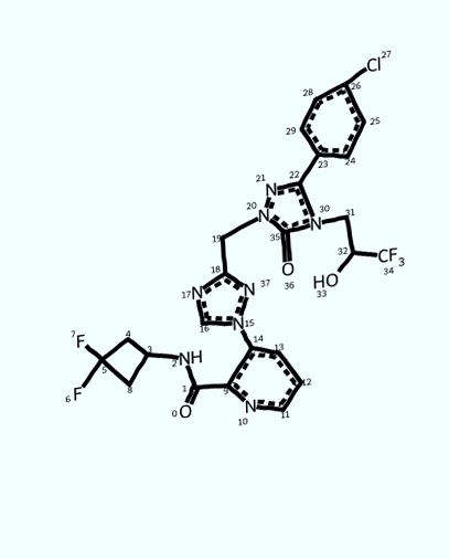 O=C(NC1CC(F)(F)C1)c1ncccc1-n1cnc(Cn2nc(-c3ccc(Cl)cc3)n(CC(O)C(F)(F)F)c2=O)n1